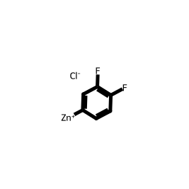 Fc1cc[c]([Zn+])cc1F.[Cl-]